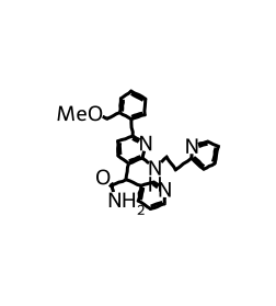 COCc1ccccc1-c1ccc(C(C(N)=O)c2cccnc2)c(NCCc2ccccn2)n1